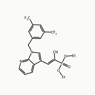 CCOP(=O)(OCC)/C(C#N)=C/c1cn(Cc2cc(C(F)(F)F)cc(C(F)(F)F)c2)c2ncccc12